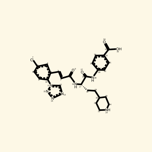 O=C(C=Cc1cc(Cl)ccc1-n1cnnn1)N[C@@H](CCC1CCNCC1)C(=O)Nc1ccc(C(=O)O)cc1